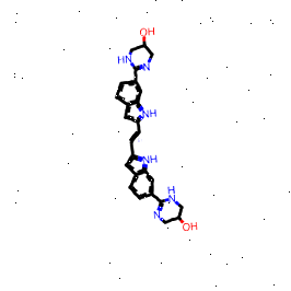 OC1CN=C(c2ccc3cc(/C=C/c4cc5ccc(C6=NCC(O)CN6)cc5[nH]4)[nH]c3c2)NC1